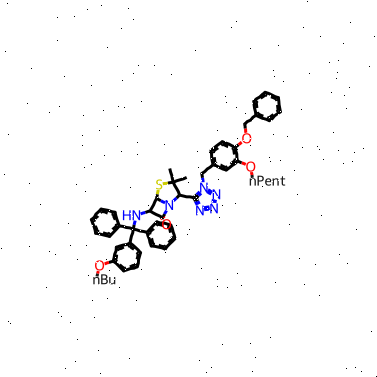 CCCCCOc1cc(Cn2nnnc2C2N3C(=O)C(NC(c4ccccc4)(c4ccccc4)c4cccc(OCCCC)c4)C3SC2(C)C)ccc1OCc1ccccc1